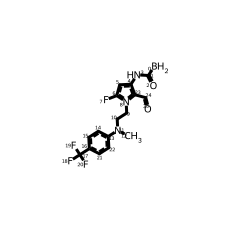 BC(=O)Nc1cc(F)n(CCN(C)c2ccc(C(F)(F)F)cc2)c1C=O